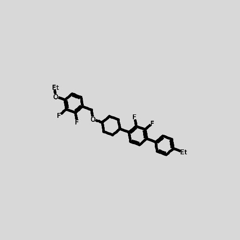 CCOc1ccc(COC2CCC(c3ccc(-c4ccc(CC)cc4)c(F)c3F)CC2)c(F)c1F